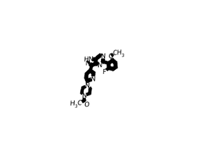 COc1cccc(F)c1-c1ncc2[nH]nc(-c3ccc(N4CCN(C(C)=O)CC4)nc3)c2n1